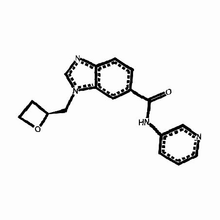 O=C(Nc1cccnc1)c1ccc2ncn(C[C@@H]3CCO3)c2c1